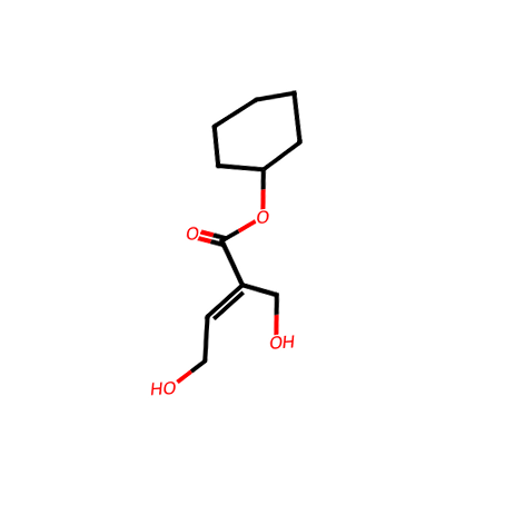 O=C(OC1CCCCC1)C(=CCO)CO